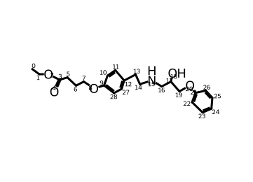 CCOC(=O)CCCOc1ccc(CCNCC(O)COc2ccccc2)cc1